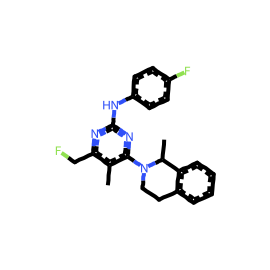 Cc1c(CF)nc(Nc2ccc(F)cc2)nc1N1CCc2ccccc2C1C